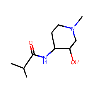 CC(C)C(=O)NC1CCN(C)CC1O